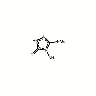 CNc1n[nH]c(=O)n1N